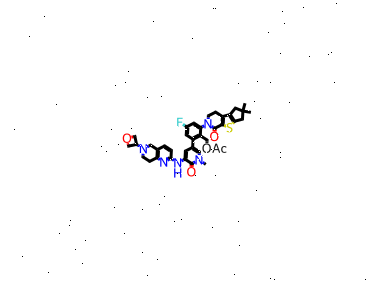 CC(=O)OCc1c(-c2cc(Nc3ccc4c(n3)CCN(C3COC3)C4)c(=O)n(C)c2)cc(F)cc1N1CCc2c(sc3c2CC(C)(C)C3)C1=O